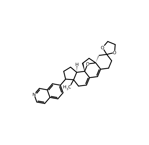 CC12CC=C3C=C4CCC5(C[C@]46CC[C@]3(O6)[C@@H]1CCC2c1ccc2ccncc2c1)OCCO5